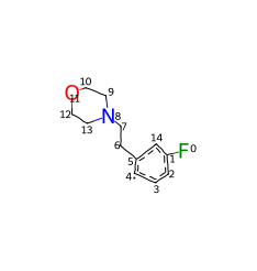 Fc1cc[c]c(CCN2CCOCC2)c1